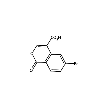 O=C(O)c1coc(=O)c2ccc(Br)cc12